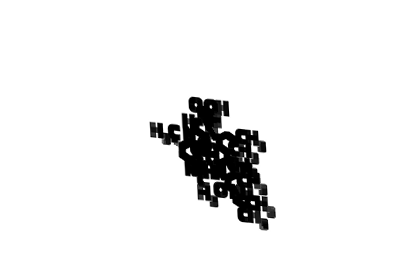 CC[C@@H](Cc1nc(C)cs1)C(=O)N[C@@H](CNC(=O)O)C(=O)N[C@@H](CC(C)C)[C@H](O)C[C@@H](C)C(=O)N[C@H](C(=O)NCC(C)C)C(C)C